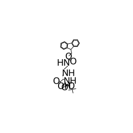 CC(C)(C)OC(=O)N[C@@H](CNCCNC(=O)OCC1c2ccccc2-c2ccccc21)C(=O)O